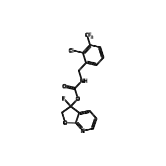 O=C(NCc1cccc(C(F)(F)F)c1Cl)OC1(F)COc2ncccc21